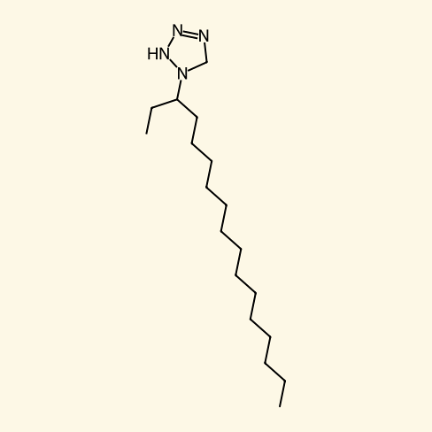 CCCCCCCCCCCCCCC(CC)N1CN=NN1